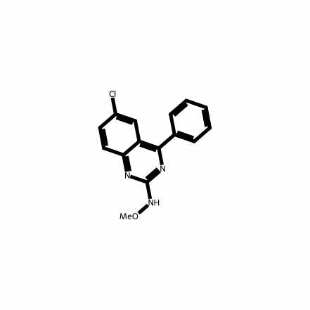 CONc1nc(-c2ccccc2)c2cc(Cl)ccc2n1